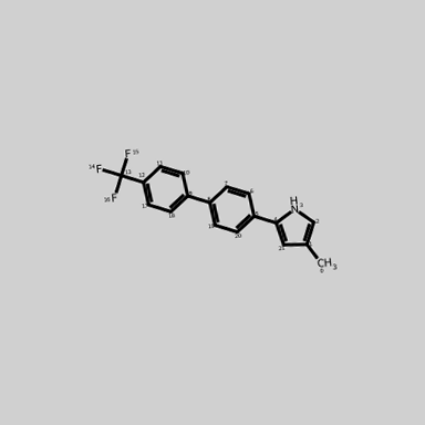 Cc1c[nH]c(-c2ccc(-c3ccc(C(F)(F)F)cc3)cc2)c1